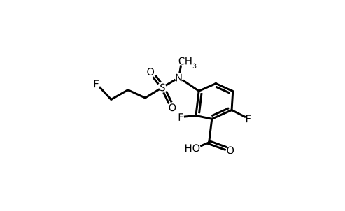 CN(c1ccc(F)c(C(=O)O)c1F)S(=O)(=O)CCCF